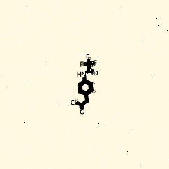 O=C(Cl)Cc1ccc(NC(=O)C(F)(F)F)cc1